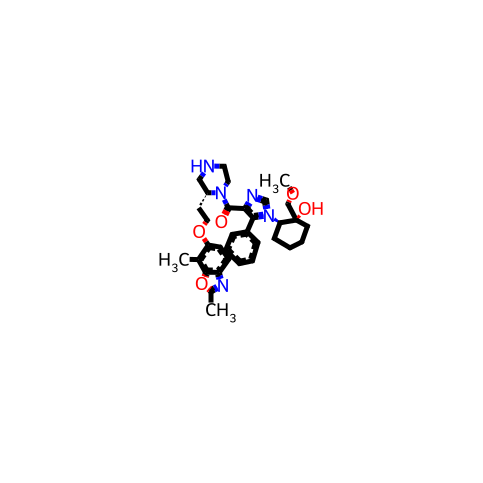 COC[C@]1(O)CCCC[C@H]1n1cnc(C(=O)N2CCNC[C@H]2CCOc2ccc3nc(C)oc3c2C)c1-c1ccccc1